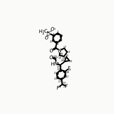 CS(=O)(=O)c1cccc(C(=O)N2CCC[C@@H]2C(=O)NC(c2ccc(C(F)F)cc2F)C2CC2)c1